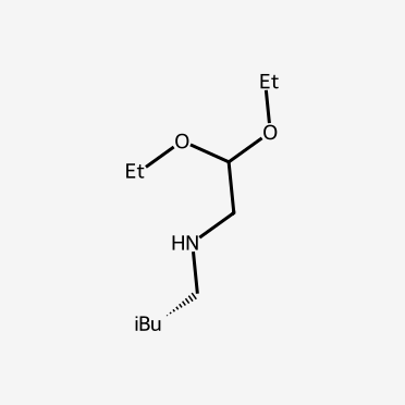 CCOC(CNC[C@@H](C)CC)OCC